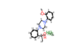 COc1ccccc1N1CCN(c2ccccc2C(C)O)CC1.Cl.Cl